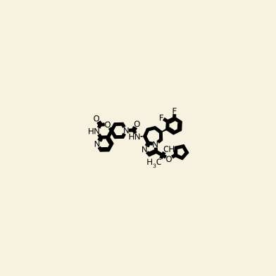 CC(C)(OC1CCCC1)c1cnc2n1C[C@H](c1cccc(F)c1F)CC[C@H]2NC(=O)N1CCC2(CC1)OC(=O)Nc1ncccc12